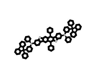 c1ccc(-c2c3cc4c(cc3c(-c3ccccc3)c3c2oc2cc(N(c5ccccc5)c5cccc(C6(c7ccccc7)c7ccccc7-c7ccccc76)c5)ccc23)oc2cc(N(c3ccccc3)c3cccc(C5(c6ccccc6)c6ccccc6-c6ccccc65)c3)ccc24)cc1